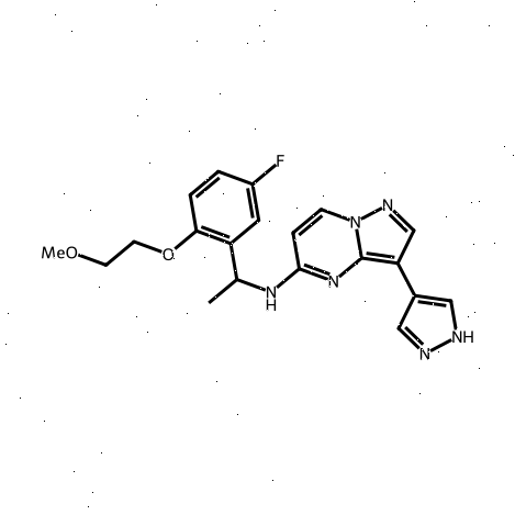 COCCOc1ccc(F)cc1C(C)Nc1ccn2ncc(-c3cn[nH]c3)c2n1